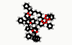 C1=CC(c2cccc3c2sc2ccccc23)(N2c3cc(N(c4ccccc4)c4ccccc4)ccc3B3c4ccc(N(c5ccccc5)c5ccccc5)cc4N(/C=C(/C=C\C=C\c4cccc5c4sc4ccccc45)c4cccc5c4sc4ccccc45)c4cc(-c5ccccc5)cc2c43)C(c2cccc3c2sc2ccccc23)=C1